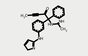 CC#CC(=O)C(NC(C)=N)(c1ccccc1)c1cccc(NC2=NCC=C2)c1